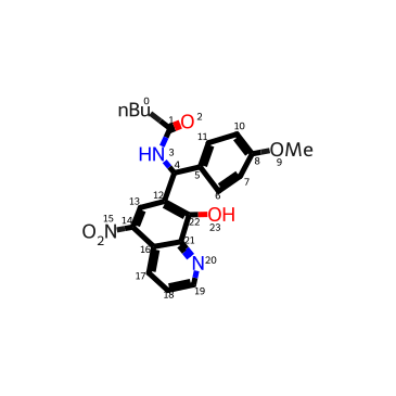 CCCCC(=O)NC(c1ccc(OC)cc1)c1cc([N+](=O)[O-])c2cccnc2c1O